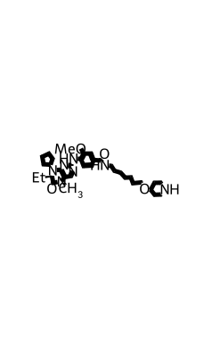 CC[C@@H]1C(=O)N(C)c2cnc(Nc3ccc(C(=O)NCCCCCCCOC4CCNCC4)cc3OC)nc2N1C1CCCC1